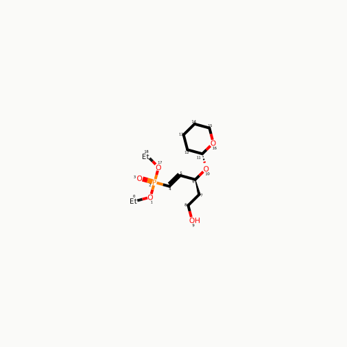 CCOP(=O)(/C=C/[C@H](CCO)O[C@@H]1CCCCO1)OCC